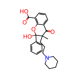 CC1(CCCN2CCCCC2)C(=O)c2cccc(C(=O)O)c2OC1(O)c1ccccc1